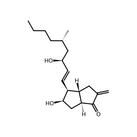 C=C1C[C@H]2[C@H](C=C[C@@H](O)C[C@@H](C)CCCC)[C@H](O)C[C@@H]2C1=O